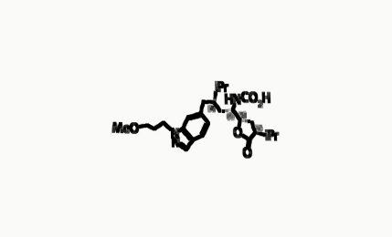 COCCCn1ncc2ccc(C[C@H](C[C@H](NC(=O)O)[C@@H]3C[C@@H](C(C)C)C(=O)O3)C(C)C)cc21